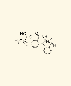 [2H]C([2H])([2H])c1ccccc1-c1c[nH]c(=O)c2cc(O[C@H](C)C(=O)O)ccc12